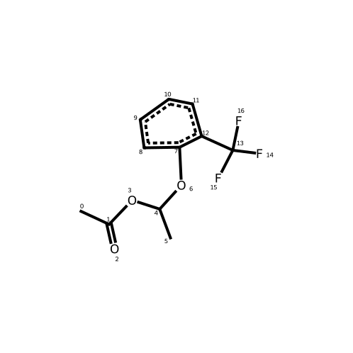 CC(=O)OC(C)Oc1ccccc1C(F)(F)F